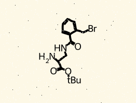 CC(C)(C)OC(=O)C(N)CNC(=O)c1ccccc1CBr